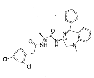 C[C@H](NC(=O)Cc1ccc(Cl)cc1Cl)C(=O)N[C@@H]1CN(C)c2ccccc2C(c2ccccc2)=N1